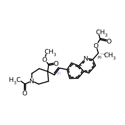 COC(=O)C1(/C=C/c2ccc3ccc([C@@H](C)OC(C)=O)nc3c2)CCN(C(C)=O)CC1